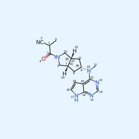 CC(C#N)C(=O)N1C[C@H]2C[C@@H](N(C)c3ncnc4[nH]ccc34)C[C@H]2C1